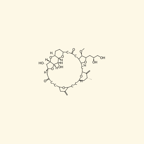 C=C1CC2CCC(=O)C[C@H]3O[C@H]4[C@@H](O)[C@H]5OC(CC[C@@H]5O[C@H]4[C@H]3O)CC(=O)CC3[C@@H](OC)C(C[C@H](O)CO)O[C@H]3CC3O[C@@H](CCC1O2)C[C@@H](C)C3=C